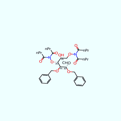 CCCC(=O)N(OC[C@@H](O)[C@@H](ON(C(=O)CCC)C(=O)CCC)[C@H](OCc1ccccc1)[C@H](C=O)OCc1ccccc1)C(=O)CCC